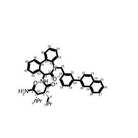 CCC[C@H](C(N)=O)[C@@H](CC(C)C)C(=O)NC1C(=O)N(Cc2cccc(-c3ccc4ccccc4c3)c2)c2ccccc2-c2ccccc21